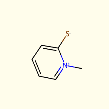 C[n+]1ccccc1[S]